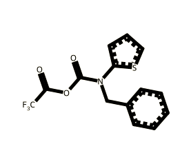 O=C(OC(=O)C(F)(F)F)N(Cc1ccccc1)c1cccs1